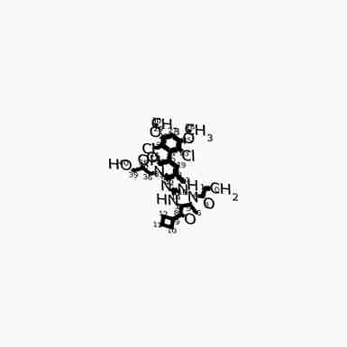 C=CC(=O)N[C@H]1COC(C2CCC2)[C@H]1Nc1ncc2cc(-c3c(Cl)c(OC)cc(OC)c3Cl)c(=O)n(CC(O)CO)c2n1